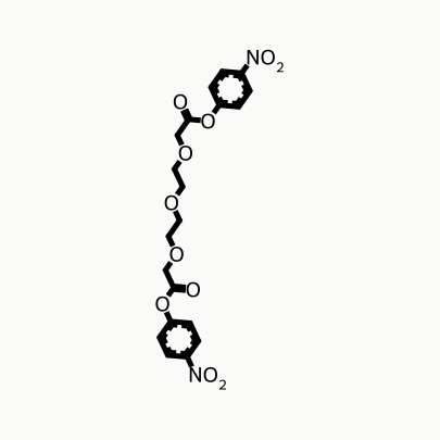 O=C(COCCOCCOCC(=O)Oc1ccc([N+](=O)[O-])cc1)Oc1ccc([N+](=O)[O-])cc1